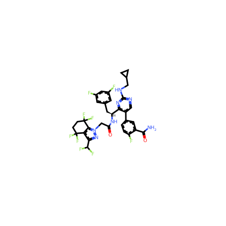 NC(=O)c1cc(-c2cnc(NCC3CC3)nc2[C@H](Cc2cc(F)cc(F)c2)NC(=O)Cn2nc(C(F)F)c3c2C(F)(F)CCC3(F)F)ccc1F